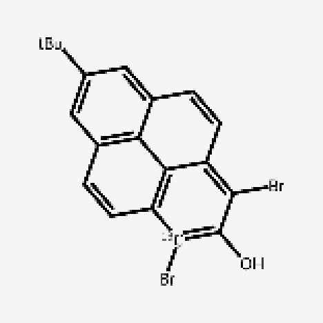 CC(C)(C)c1cc2ccc3c(Br)c(O)[13c](Br)c4ccc(c1)c2c34